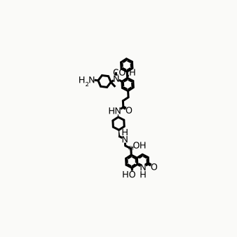 CC1(N(C(=O)O)c2cc(CCC(=O)N[C@H]3CC[C@H](CNC[C@H](O)c4ccc(O)c5[nH]c(=O)ccc45)CC3)ccc2-c2ccccc2)CCC(N)CC1